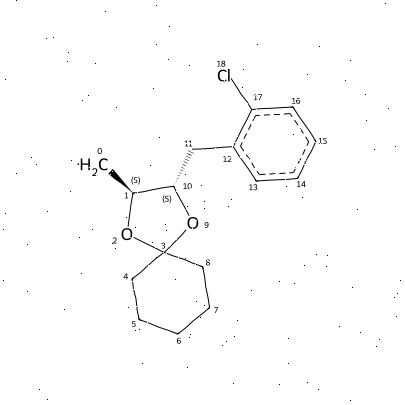 [CH2][C@@H]1OC2(CCCCC2)O[C@H]1Cc1ccccc1Cl